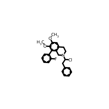 COc1cc2c(c(-c3ccccc3F)c1OC)CN(C(Cl)Cc1ccccc1)CC2